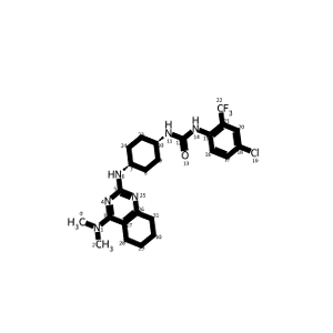 CN(C)c1nc(N[C@H]2CC[C@@H](NC(=O)Nc3ccc(Cl)cc3C(F)(F)F)CC2)nc2c1CCCC2